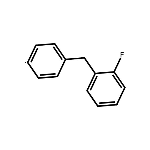 Fc1ccccc1Cc1cc[c]cc1